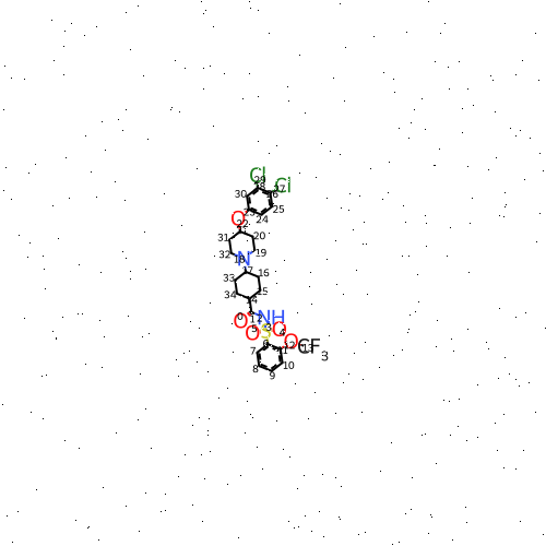 O=C(NS(=O)(=O)c1ccccc1OC(F)(F)F)C1CCC(N2CCC(Oc3ccc(Cl)c(Cl)c3)CC2)CC1